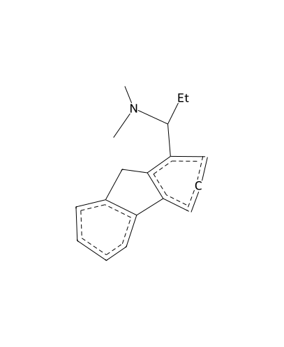 CCC(c1cccc2c1Cc1ccccc1-2)N(C)C